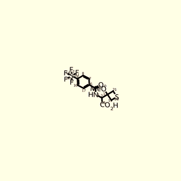 COC1(C(NC(=O)c2ccc(S(F)(F)(F)(F)F)cc2)C(=O)O)CSC1